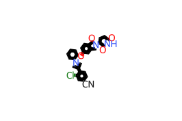 N#Cc1ccc(C2CN(C3CCCC[C@@H]3Oc3ccc4c(c3)CN(C3CCC(=O)NC3=O)C4=O)C2)c(Cl)c1